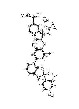 COC(=O)c1ccc2nc(Cc3c(F)cc(-c4cccc5c4OC(C)(c4ccc(Cl)cc4F)O5)cc3F)n(CC3(CC#N)CC3)c2c1